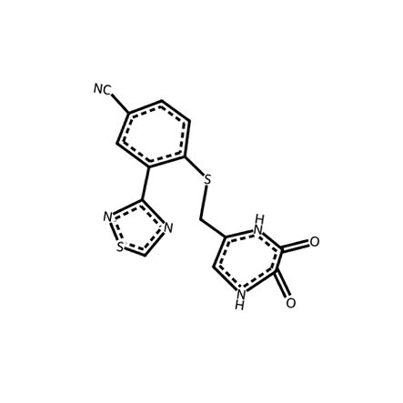 N#Cc1ccc(SCc2c[nH]c(=O)c(=O)[nH]2)c(-c2ncsn2)c1